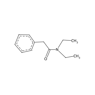 CCN(CC)C(=O)Cc1[c]cccc1